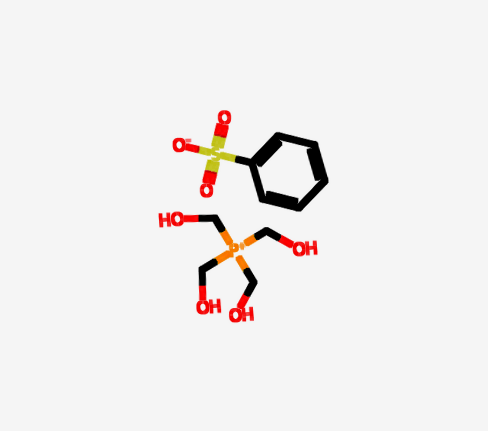 O=S(=O)([O-])c1ccccc1.OC[P+](CO)(CO)CO